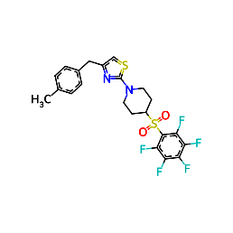 Cc1ccc(Cc2csc(N3CCC(S(=O)(=O)c4c(F)c(F)c(F)c(F)c4F)CC3)n2)cc1